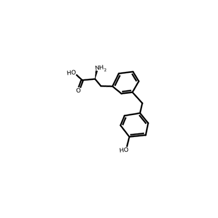 N[C@@H](Cc1cccc(Cc2ccc(O)cc2)c1)C(=O)O